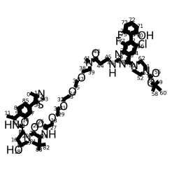 Cc1ncsc1-c1ccc(C(C)NC(=O)[C@@H]2C[C@@H](O)CN2C(=O)C(NC(=O)COCCOCCOCCOCCN(C)C(=O)CCNc2nc(N3CCN(C(=O)OC(C)(C)C)CC3)c3cc(Cl)c(-c4c(O)cccc4F)c(F)c3n2)C(C)(C)C)cc1